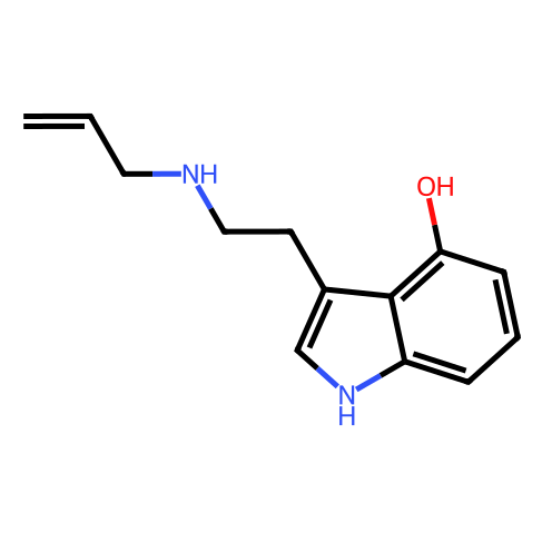 C=CCNCCc1c[nH]c2cccc(O)c12